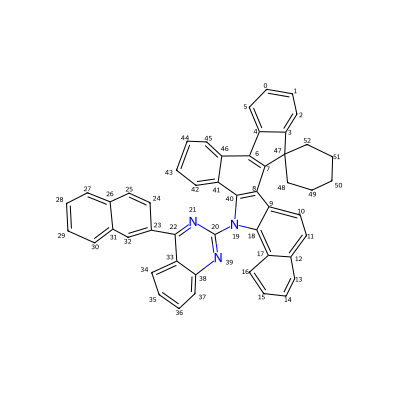 c1ccc2c(c1)-c1c(c3c4ccc5ccccc5c4n(-c4nc(-c5ccc6ccccc6c5)c5ccccc5n4)c3c3ccccc13)C21CCCCC1